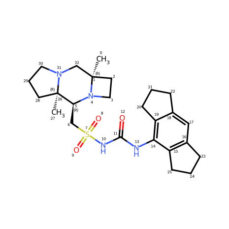 C[C@]12CCN1[C@@H](CS(=O)(=O)NC(=O)Nc1c3c(cc4c1CCC4)CCC3)[C@@]1(C)CCCN1C2